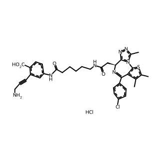 Cc1sc2c(c1C)C(c1ccc(Cl)cc1)=N[C@@H](CC(=O)NCCCCCC(=O)Nc1ccc(C(=O)O)c(C#CCN)c1)c1nnc(C)n1-2.Cl